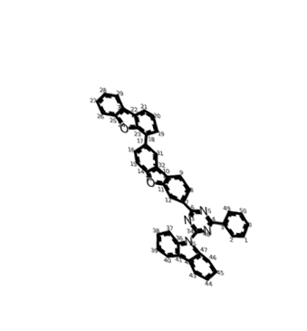 c1ccc(-c2nc(-c3ccc4c(c3)oc3ccc(-c5cccc6c5oc5ccccc56)cc34)nc(-n3c4ccccc4c4ccccc43)n2)cc1